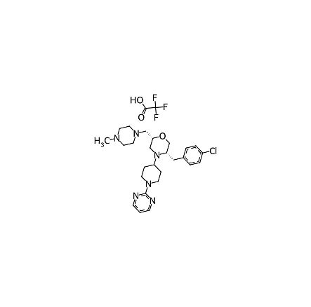 CN1CCN(C[C@H]2CN(C3CCN(c4ncccn4)CC3)[C@@H](Cc3ccc(Cl)cc3)CO2)CC1.O=C(O)C(F)(F)F